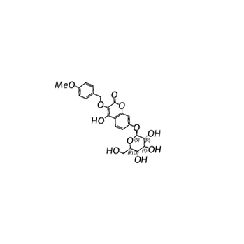 COc1ccc(COc2c(O)c3ccc(O[C@@H]4O[C@H](CO)[C@@H](O)[C@H](O)[C@H]4O)cc3oc2=O)cc1